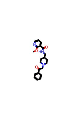 COc1ncccc1C(=O)NCC1CCN(CC(=O)c2ccccc2)CC1